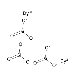 O=[Si]([O-])[O-].O=[Si]([O-])[O-].O=[Si]([O-])[O-].[Dy+3].[Dy+3]